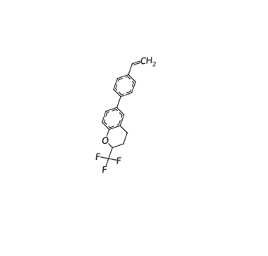 C=Cc1ccc(-c2ccc3c(c2)CCC(C(F)(F)F)O3)cc1